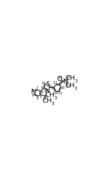 CC(C)c1ccncc1-c1csc(-c2cccc(C(=O)N(C)C)c2)n1